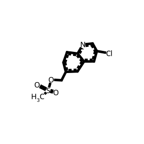 CS(=O)(=O)OCc1ccc2ncc(Cl)cc2c1